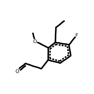 CCc1c(F)ccc(C[C]=O)c1OC